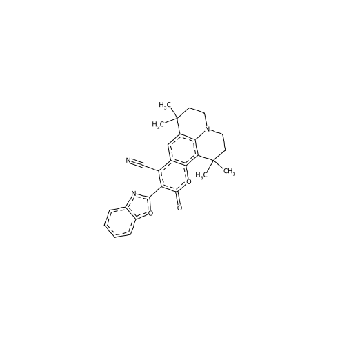 CC1(C)CCN2CCC(C)(C)c3c2c1cc1c(C#N)c(-c2nc4ccccc4o2)c(=O)oc31